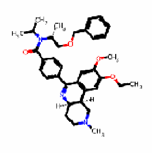 CCOc1cc2c(cc1OC)C(c1ccc(C(=O)N(C(C)C)[C@H](C)COCc3ccccc3)cc1)=N[C@@H]1CCN(C)C[C@H]21